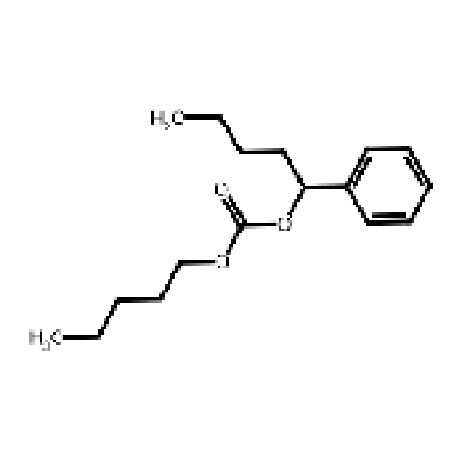 CCCCCOC(=O)OC(CCCC)c1ccccc1